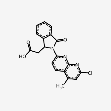 Cc1cc(Cl)nc2nc(N3C(=O)c4ccccc4C3CC(=O)O)ccc12